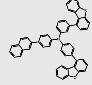 c1cc(-c2cccc3sc4ccccc4c23)cc(N(c2ccc(-c3ccc4ccccc4c3)cc2)c2ccc(-c3cccc4oc5ccccc5c34)cc2)c1